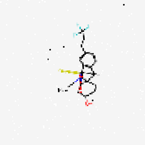 CN1C(=O)C2(NC1=S)c1cc(CCC(F)(F)F)ccc1CC21CCC(O)CC1